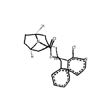 O=C(OCc1ccccc1)N1[C@@H]2CC[C@H]1C[C@H](CNc1nccnc1Cl)C2